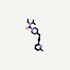 CCN(C(=O)N1CCC(=CC#Cc2cccc(C)n2)CC1)C(C)C